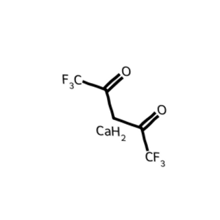 O=C(CC(=O)C(F)(F)F)C(F)(F)F.[CaH2]